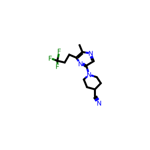 Cc1ncc(N2CCC(C#N)CC2)nc1CCC(F)(F)F